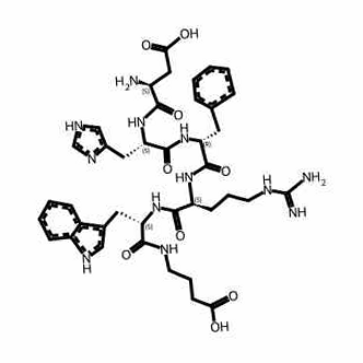 N=C(N)NCCC[C@H](NC(=O)[C@@H](Cc1ccccc1)NC(=O)[C@H](Cc1c[nH]cn1)NC(=O)[C@@H](N)CC(=O)O)C(=O)N[C@@H](Cc1c[nH]c2ccccc12)C(=O)NCCCC(=O)O